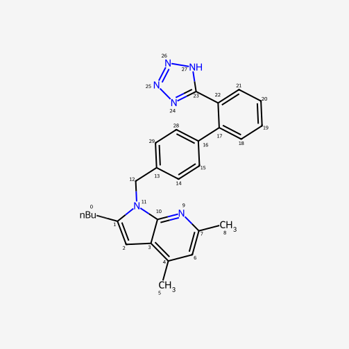 CCCCc1cc2c(C)cc(C)nc2n1Cc1ccc(-c2ccccc2-c2nnn[nH]2)cc1